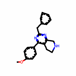 COc1ccc(-c2nc(Cc3ccccc3)nc3c2CCNC3)cc1